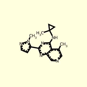 Cc1cncc2nc(-c3ccnn3C)nc(NC3(C)CC3)c12